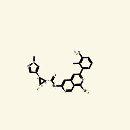 Cc1c(N)cccc1-c1cc2cc(NC(=O)[C@@H]3[C@H](C)[C@H]3c3cnn(C)c3)ncc2c(N)n1